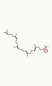 CC(C)=CCCC(C)=CCCC(C)=CCCC=C(C)CCC=C(C)CCC1OC1(C)C